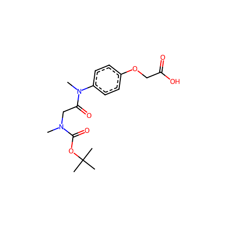 CN(CC(=O)N(C)c1ccc(OCC(=O)O)cc1)C(=O)OC(C)(C)C